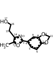 Cc1oc(-c2ccc3c(c2)OCO3)nc1CCO